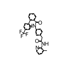 Cc1cccnc1NC(=O)Cc1ccc(NC(=O)c2ccccc2-c2ccc(C(F)(F)F)cc2)cc1